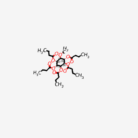 CCCC(=O)O[C@H]1[C@H](OC(=O)CCC)[C@H](OC(=O)CCC)[C@@H](OC)[C@H](OC(=O)CCC)[C@H]1OC(=O)CCC